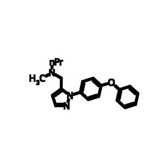 CCCN(C)Cc1ccnn1-c1ccc(Oc2ccccc2)cc1